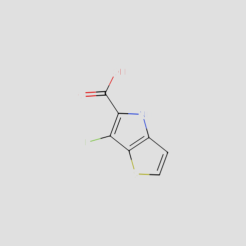 O=C(O)c1[nH]c2ccsc2c1F